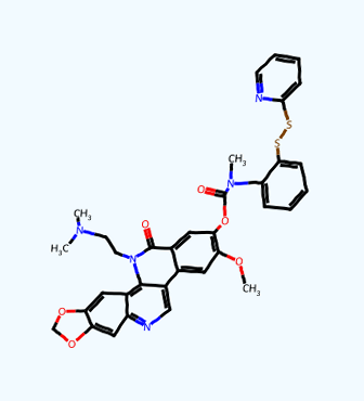 COc1cc2c(cc1OC(=O)N(C)c1ccccc1SSc1ccccn1)c(=O)n(CCN(C)C)c1c3cc4c(cc3ncc21)OCO4